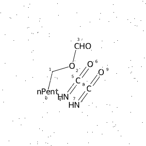 CCCCCCOC=O.N=C=O.N=C=O